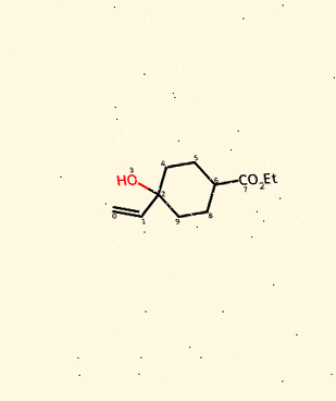 C=CC1(O)CCC(C(=O)OCC)CC1